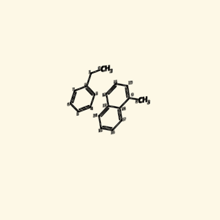 CCc1ccccc1.Cc1cccc2ccccc12